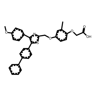 COc1ccc(-c2nc(COc3ccc(OCC(=O)O)c(C)c3)sc2-c2ccc(-c3ccccc3)cc2)cc1